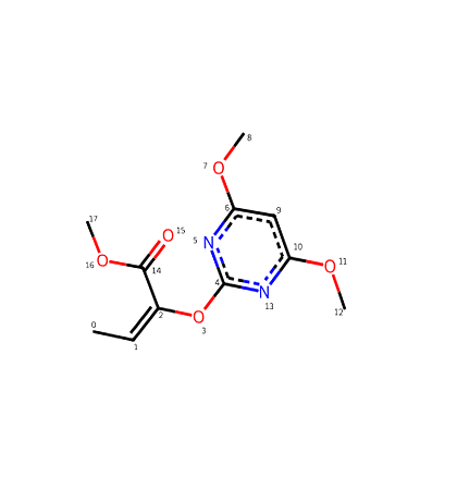 CC=C(Oc1nc(OC)cc(OC)n1)C(=O)OC